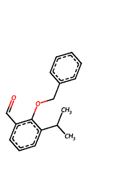 CC(C)c1cccc(C=O)c1OCc1ccccc1